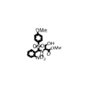 COC(=O)C(CO)NC(c1ccccc1[N+](=O)[O-])S(=O)(=O)c1ccc(OC)cc1